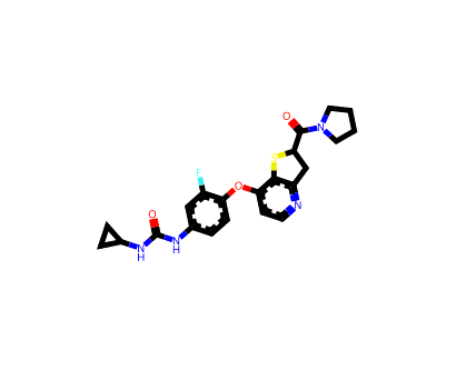 O=C(Nc1ccc(Oc2ccnc3c2SC(C(=O)N2CCCC2)C3)c(F)c1)NC1CC1